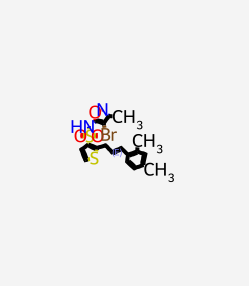 Cc1ccc(/C=C/Cc2sccc2S(=O)(=O)Nc2onc(C)c2Br)c(C)c1